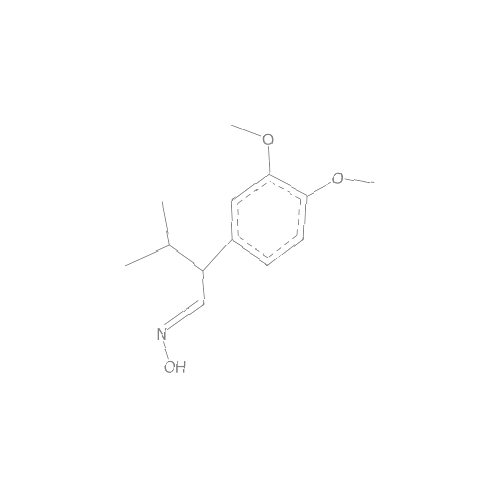 COc1ccc(C(/C=N/O)C(C)C)cc1OC